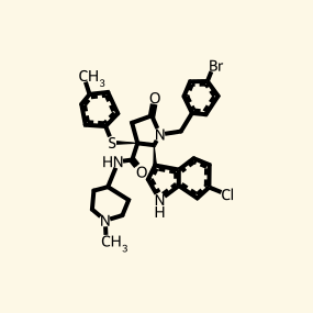 Cc1ccc(S[C@@]2(C(=O)NC3CCN(C)CC3)CC(=O)N(Cc3ccc(Br)cc3)[C@H]2c2c[nH]c3cc(Cl)ccc23)cc1